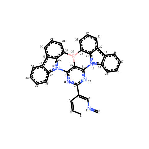 C=N/C=C(\C=C/C)c1nc2c3c(n1)-n1c4ccccc4c4cccc(c41)B3c1cccc3c4ccccc4n-2c13